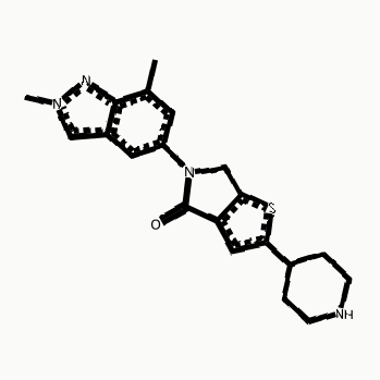 Cc1cc(N2Cc3sc(C4CCNCC4)cc3C2=O)cc2cn(C)nc12